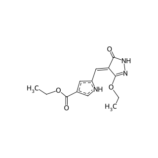 CCOC(=O)c1c[nH]c(C=C2C(=O)NN=C2OCC)c1